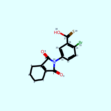 O=C1C2=C(CCCC2)C(=O)N1c1ccc(Br)c(C(O)=S)c1